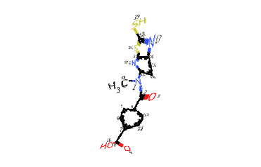 CN(C(=O)c1ccc(C(=O)O)cc1)c1ccc2nc(S)sc2n1